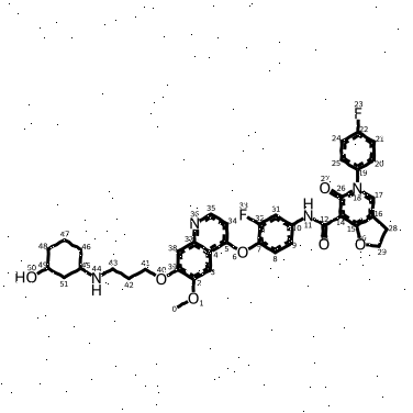 COc1cc2c(Oc3ccc(NC(=O)c4c5c(cn(-c6ccc(F)cc6)c4=O)CCO5)cc3F)ccnc2cc1OCCCNC1CCCC(O)C1